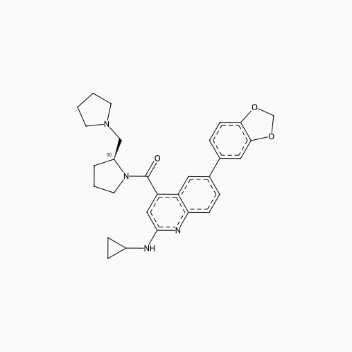 O=C(c1cc(NC2CC2)nc2ccc(-c3ccc4c(c3)OCO4)cc12)N1CCC[C@H]1CN1CCCC1